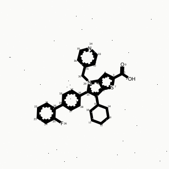 O=C(O)c1cc2c(s1)c(C1CCCCC1)c(-c1ccc(-c3ccccc3F)cc1)n2Cc1ccncc1